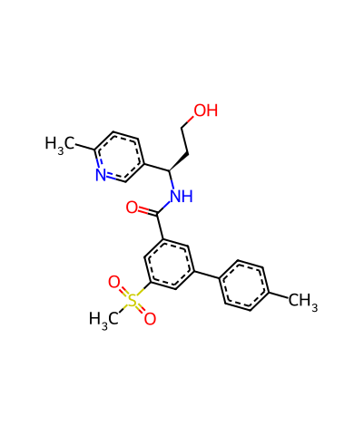 Cc1ccc(-c2cc(C(=O)N[C@H](CCO)c3ccc(C)nc3)cc(S(C)(=O)=O)c2)cc1